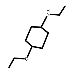 CCNC1CCC(OCC)CC1